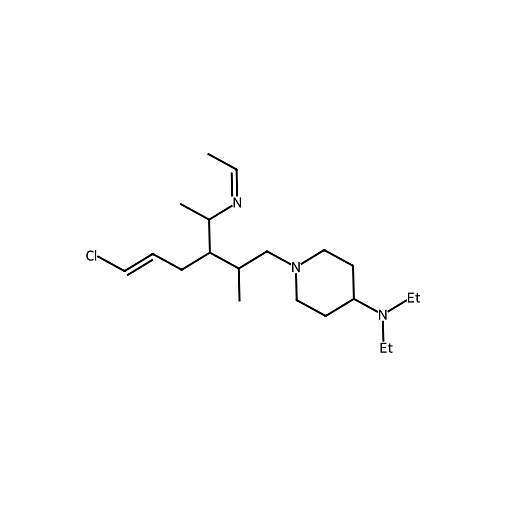 C/C=N\C(C)C(C/C=C/Cl)C(C)CN1CCC(N(CC)CC)CC1